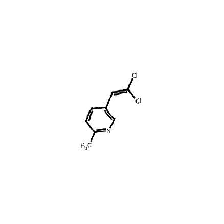 Cc1ccc(C=C(Cl)Cl)cn1